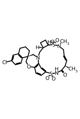 C[C@@H]1/C=C/CN(C)S(=O)(=O)[C@@H]2CC[C@H]2CN2C[C@@]3(CCCc4cc(Cl)ccc43)COc3ccc(cc32)S(=O)(=O)NC1=O